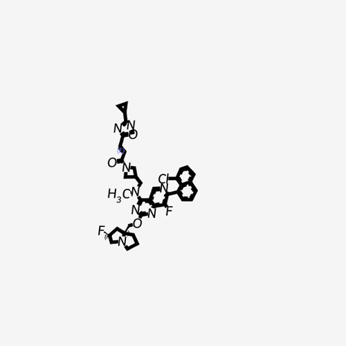 CN(CC1CN(C(=O)/C=C/c2nc(C3CC3)no2)C1)c1nc(OC[C@@]23CCCN2C[C@H](F)C3)nc2c(F)c(-c3cccc4cccc(Cl)c34)ncc12